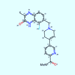 CNC(=O)c1ccc(C2=CCN(Cc3ccc4nc(C)c(=O)[nH]c4c3F)CC2)cn1